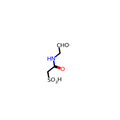 O=[C]CNC(=O)CS(=O)(=O)O